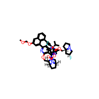 COCOc1cc(-c2nc3c4c(nc(OC[C@@]56CCCN5C[C@H](F)C6)nc4c2F)N2C[C@@H]4CC[C@H]([C@H]2CO3)N4C(=O)OC(C)(C)C)c2c(C#C[Si](C(C)C)(C(C)C)C(C)C)cccc2c1